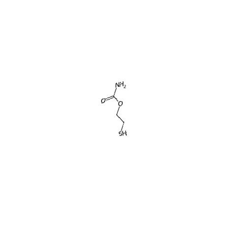 NC(=O)OCCS